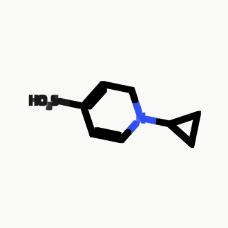 O=S(=O)(O)C1=CCN(C2CC2)C=C1